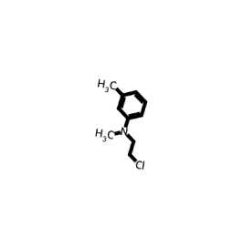 Cc1cccc(N(C)CCCl)c1